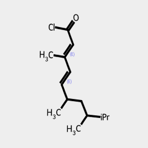 CC(/C=C/C(C)CC(C)C(C)C)=C\C(=O)Cl